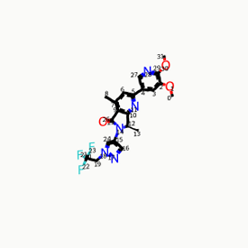 COc1cc(-c2cc(C)c3c(n2)[C@@H](C)N(c2cnn(CC(F)(F)F)c2)C3=O)cnc1OC